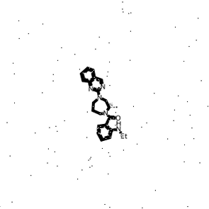 CCNc1ccccc1C(=O)N1CCCN(c2ncc3ccccc3n2)C[C@@H]1C